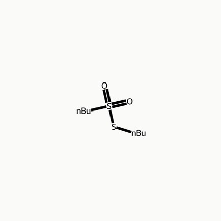 CCCCSS(=O)(=O)CCCC